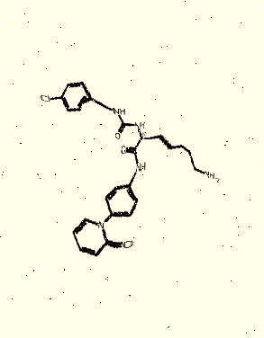 NCCCC[C@H](NC(=O)Nc1ccc(Cl)cc1)C(=O)Nc1ccc(-n2ccccc2=O)cc1